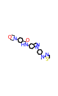 C=[N+](c1ccc(-n2ncc3cc(NC(=O)c4ccc(N5CCOCC5)cc4)ccc32)cc1)c1nccs1